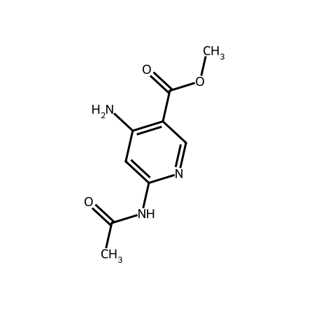 COC(=O)c1cnc(NC(C)=O)cc1N